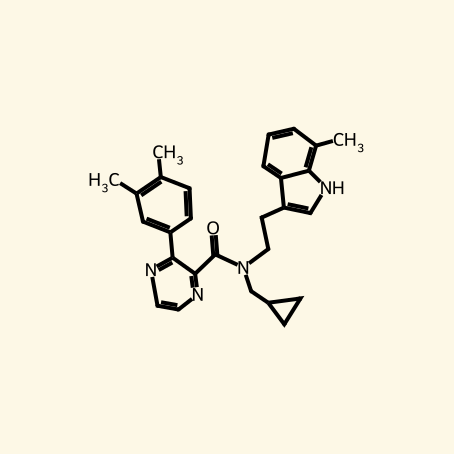 Cc1ccc(-c2nccnc2C(=O)N(CCc2c[nH]c3c(C)cccc23)CC2CC2)cc1C